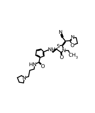 CCn1c(=C(C#N)C2=NCCO2)sc(=CNc2cccc(C(=O)NCCCN3CCCC3)c2)c1=O